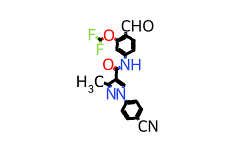 Cc1nn(-c2ccc(C#N)cc2)cc1C(=O)Nc1ccc(C=O)c(OC(F)F)c1